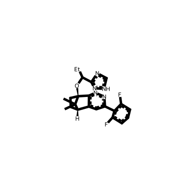 CCC(O[C@@]12CC[C@@H](c3cc(-c4c(F)cccc4F)nnc31)C2(C)C)c1nc[nH]n1